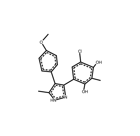 COc1ccc(-c2c(-c3cc(Cl)c(O)c(C)c3O)n[nH]c2C)cc1